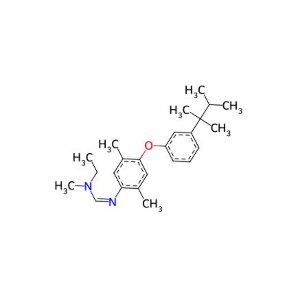 CCN(C)/C=N\c1cc(C)c(Oc2cccc(C(C)(C)C(C)C)c2)cc1C